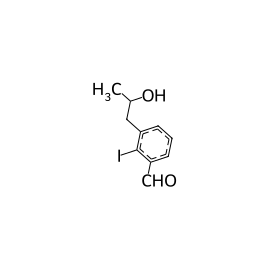 CC(O)Cc1cccc(C=O)c1I